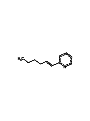 CCCC/C=C/c1ccccn1